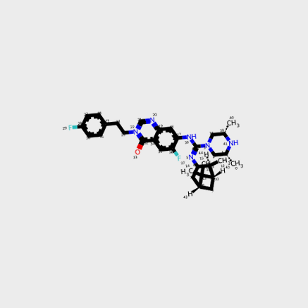 C[C@@H]1CN(C(=NC2C[C@H]3C[C@@H]([C@@H]2C)C3(C)C)Nc2cc3ncn(CCc4ccc(F)cc4)c(=O)c3cc2F)C[C@H](C)N1